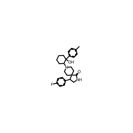 Cc1ccc(C2(O)CCCCC2N2CCC3(CC2)C(=O)NCC3c2ccc(F)cc2)cc1